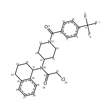 O=C(c1ccc(C(F)(F)F)cc1)N1CCC(N(C(=O)CCl)C2CCCc3ccccc32)CC1